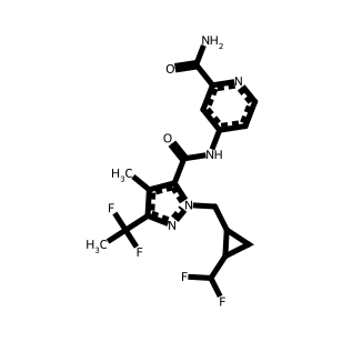 Cc1c(C(C)(F)F)nn(CC2CC2C(F)F)c1C(=O)Nc1ccnc(C(N)=O)c1